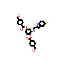 O=CC1CCC(C(=O)Oc2ccc(OC(=O)C3CCC(C=O)CC3)c3sc(-c4cc5cc(F)ccc5[nH]4)nc23)CC1